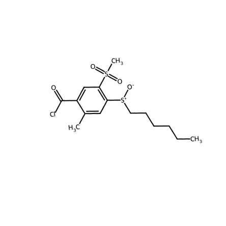 CCCCCC[S+]([O-])c1cc(C)c(C(=O)Cl)cc1S(C)(=O)=O